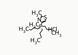 CCCCP(C)(CCCC)(CCCC)c1csc(C)n1.Cl